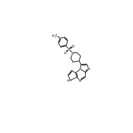 Cc1ccc(S(=O)(=O)N2CCC(c3cnc4cnc5[nH]ccc5n34)CC2)cc1